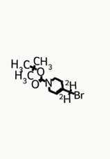 [2H]C([2H])(Br)C1=CCN(C(=O)OC(C)(C)C)CC1